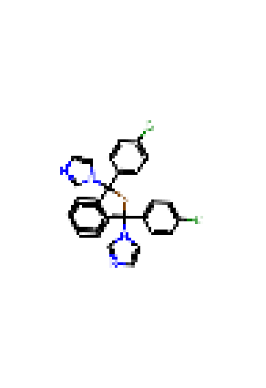 Clc1ccc(C(SC(c2ccccc2)(c2ccc(Cl)cc2)n2ccnc2)(c2ccccc2)n2ccnc2)cc1